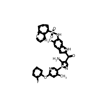 Cc1cc2cc(C(=O)c3cnn(-c4cnc(Oc5ccccc5F)cc4C)c3N)[nH]c2cc1NS(=O)(=O)c1cccc2ccccc12